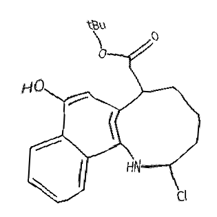 CC(C)(C)OC(=O)C1CCCC(Cl)Nc2c1cc(O)c1ccccc21